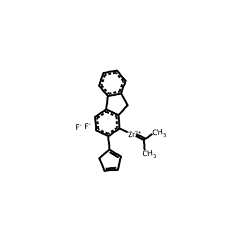 C[C](C)=[Zr+2][c]1c(C2=CC=CC2)ccc2c1Cc1ccccc1-2.[F-].[F-]